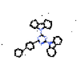 c1ccc(-c2ccc(-c3nc(-n4c5ccccc5c5ccccc54)nc(-n4c5ccccc5c5ccccc54)n3)cc2)cc1